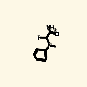 CN(c1ccccc1)C(F)C(N)=O